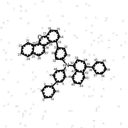 c1ccc(-c2ccc(N(c3ccc(-c4cccc5oc6c7ccccc7ccc6c45)cc3)c3ccc(-c4ccccc4)c4ccccc34)cc2)cc1